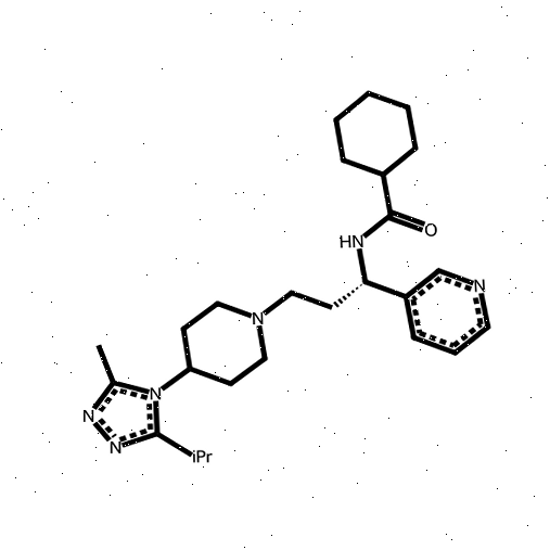 Cc1nnc(C(C)C)n1C1CCN(CC[C@H](NC(=O)C2CCCCC2)c2cccnc2)CC1